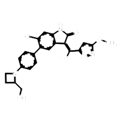 COc1cc(/C(O)=C2\C(=O)Nc3cc(Cl)c(-c4ccc(N5CCC5CO)cc4)cc32)on1